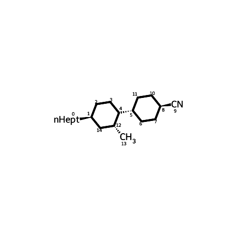 CCCCCCC[C@H]1CCC([C@H]2CC[C@H](C#N)CC2)[C@H](C)C1